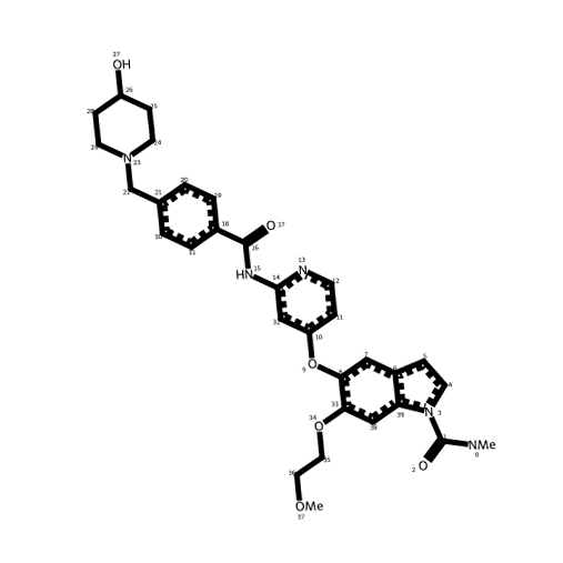 CNC(=O)n1ccc2cc(Oc3ccnc(NC(=O)c4ccc(CN5CCC(O)CC5)cc4)c3)c(OCCOC)cc21